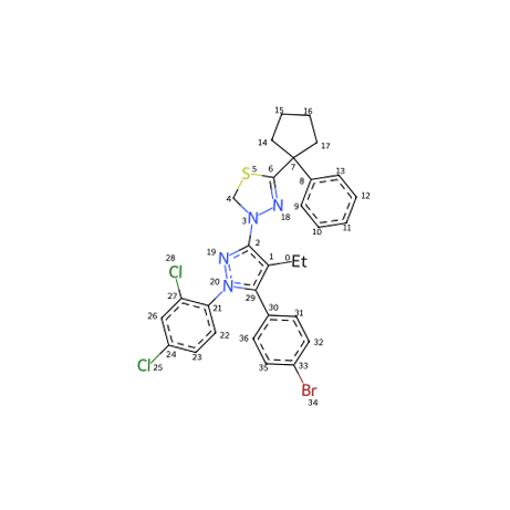 CCc1c(N2CSC(C3(c4ccccc4)CCCC3)=N2)nn(-c2ccc(Cl)cc2Cl)c1-c1ccc(Br)cc1